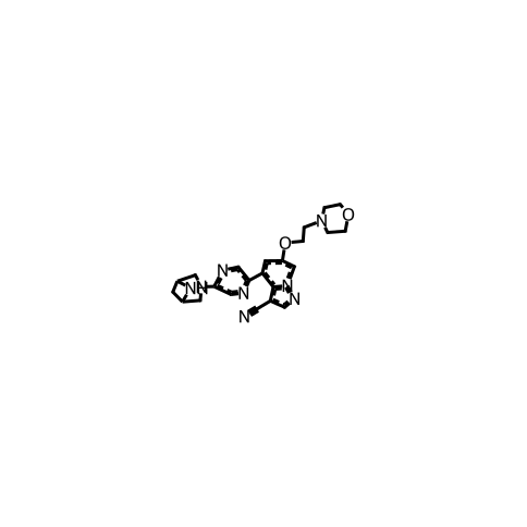 N#Cc1cnn2cc(OCCN3CCOCC3)cc(-c3cnc(N4CC5CC(C4)N5)cn3)c12